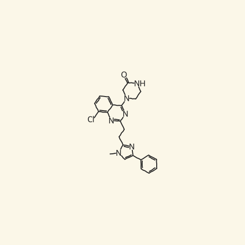 Cn1cc(-c2ccccc2)nc1CCc1nc(N2CCNC(=O)C2)c2cccc(Cl)c2n1